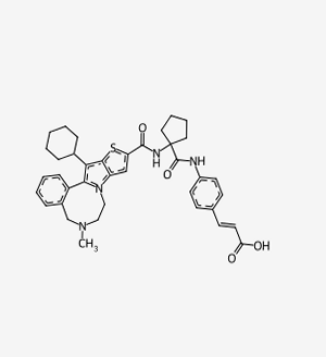 CN1CCn2c(c(C3CCCCC3)c3sc(C(=O)NC4(C(=O)Nc5ccc(C=CC(=O)O)cc5)CCCC4)cc32)-c2ccccc2C1